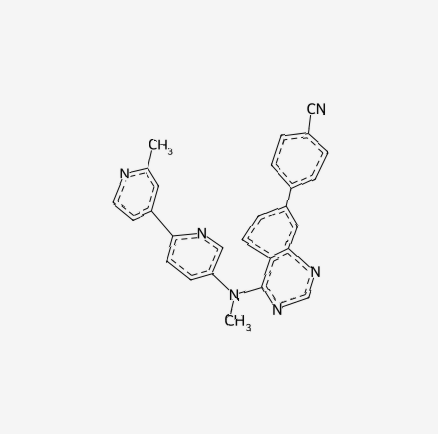 Cc1cc(-c2ccc(N(C)c3ncnc4cc(-c5ccc(C#N)cc5)ccc34)cn2)ccn1